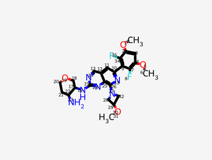 COc1cc(OC)c(F)c(-c2cc3cnc(NC4COCCC4N)nc3c(N3CC(OC)C3)n2)c1F